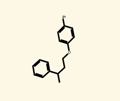 CC(C)c1ccc(OCCC(C)c2ccccc2)cc1